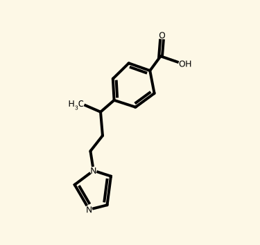 CC(CCn1ccnc1)c1ccc(C(=O)O)cc1